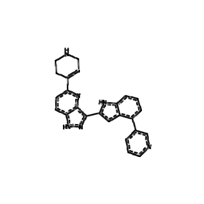 C1=C(c2ccc3[nH]nc(-c4cc5c(-c6cccnc6)cccc5[nH]4)c3n2)CCNC1